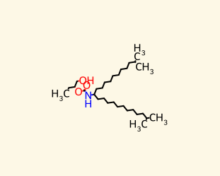 CCC(CO)OC(=O)NC(CCCCCCCCCCC(C)C)CCCCCCCCCC(C)C